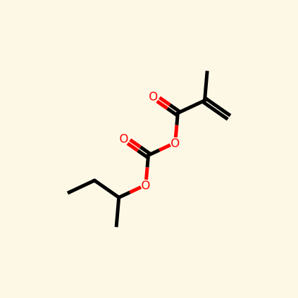 C=C(C)C(=O)OC(=O)OC(C)CC